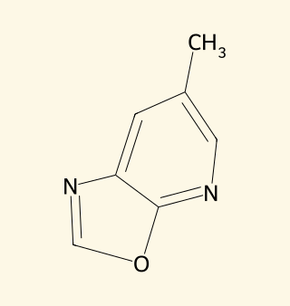 Cc1cnc2ocnc2c1